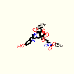 CCC1(OC(=O)CCCNC(=O)OC(C)(C)C)C(=O)OC([Si](C)(C)CC(C)C)c2c1cc1n(c2=O)Cc2cc3cc(O)ccc3nc2-1